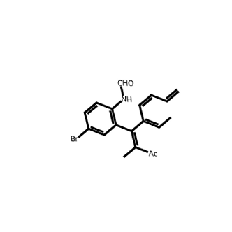 C=C\C=C/C(=C\C)C(=C(/C)C(C)=O)/c1cc(Br)ccc1NC=O